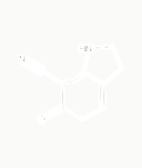 N#CC1=C2NCCC2=CCC1=O